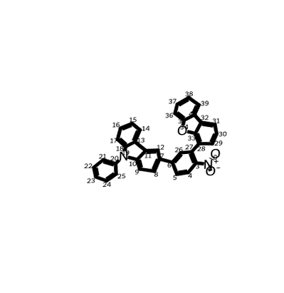 O=[N+]([O-])c1ccc(-c2ccc3c(c2)c2ccccc2n3-c2ccccc2)cc1-c1cccc2c1oc1ccccc12